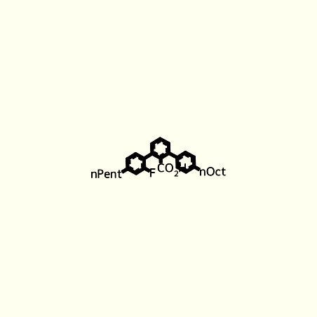 CCCCCCCCc1ccc(-c2cccc(-c3ccc(CCCCC)cc3F)c2C(=O)O)cc1